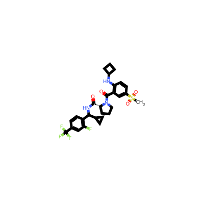 CS(=O)(=O)c1ccc(NC2CCC2)c(C(=O)N2CCC[C@@H]2C(=O)NC(c2ccc(C(F)(F)F)cc2F)C2CC2)c1